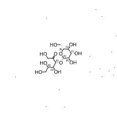 O=C(CO)[C@H](O[C@@H]1O[C@H](CO)[C@@H](O)[C@H](O)[C@H]1O)[C@@H](O)[C@H](O)CO